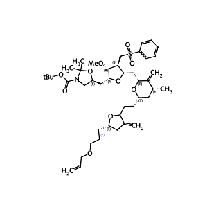 C=CCOC/C=C/[C@H]1CC(=C)C(CC[C@H]2C[C@@H](C)C(=C)[C@@H](CC3O[C@H](C[C@H]4CN(C(=O)OC(C)(C)C)C(C)(C)O4)[C@H](OC)[C@H]3CS(=O)(=O)c3ccccc3)O2)O1